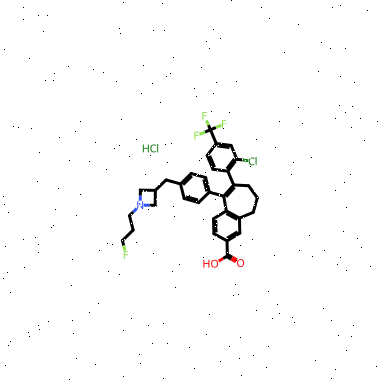 Cl.O=C(O)c1ccc2c(c1)CCCC(c1ccc(C(F)(F)F)cc1Cl)=C2c1ccc(CC2CN(CCCF)C2)cc1